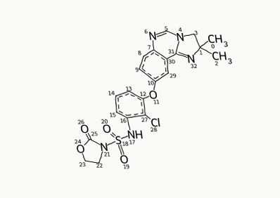 CC1(C)CN2C=Nc3ccc(Oc4cccc(NS(=O)(=O)N5CCOC5=O)c4Cl)cc3C2=N1